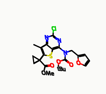 COC(=O)C1(c2sc3c(N(Cc4ccco4)C(=O)OC(C)(C)C)nc(Cl)nc3c2C)CC1